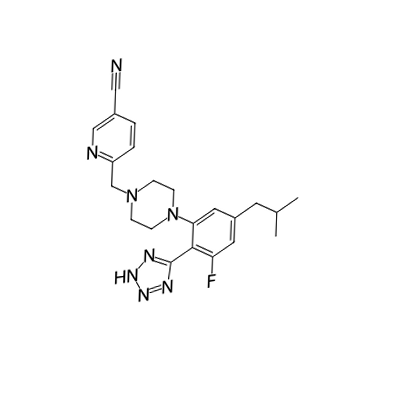 CC(C)Cc1cc(F)c(-c2nn[nH]n2)c(N2CCN(Cc3ccc(C#N)cn3)CC2)c1